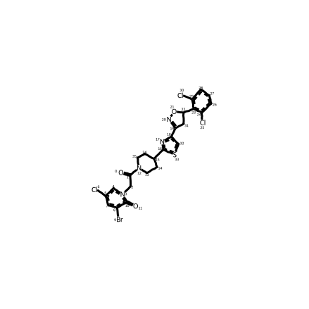 O=C(Cn1cc(Cl)cc(Br)c1=O)N1CCC(c2nc(C3=NOC(c4c(Cl)cccc4Cl)C3)cs2)CC1